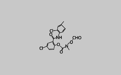 Cc1ccc(NC(=O)c2cc(Cl)ccc2OC(=O)N(C)COC=O)c(Cl)c1